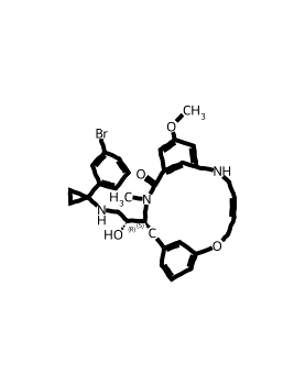 COc1cc2cc(c1)C(=O)N(C)[C@H]([C@H](O)CNC1(c3cccc(Br)c3)CC1)Cc1cccc(c1)OCC=CCN2